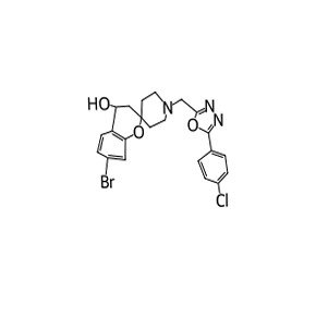 OC1CC2(CCN(Cc3nnc(-c4ccc(Cl)cc4)o3)CC2)Oc2cc(Br)ccc21